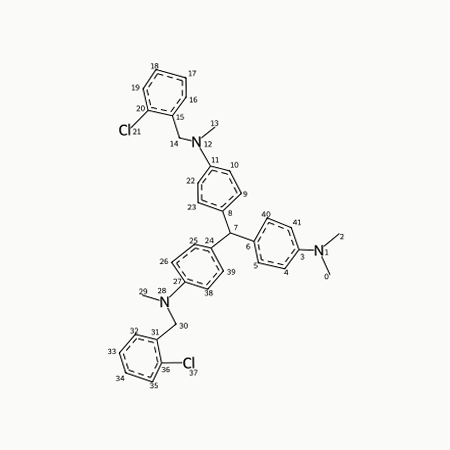 CN(C)c1ccc(C(c2ccc(N(C)Cc3ccccc3Cl)cc2)c2ccc(N(C)Cc3ccccc3Cl)cc2)cc1